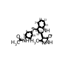 CC(=O)Nc1ccc(SC2=CC(=C3C(=O)NN=C3C)Nc3ccccc32)cc1